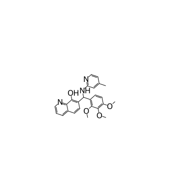 COc1ccc(C(Nc2cc(C)ccn2)c2ccc3cccnc3c2O)c(OC)c1OC